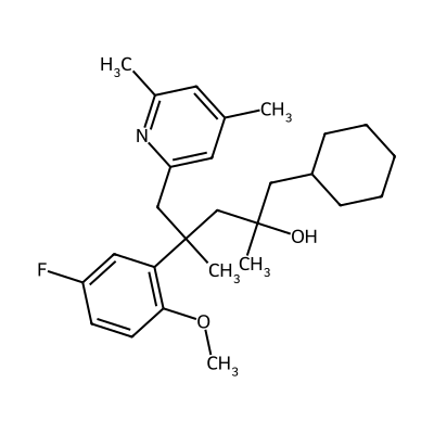 COc1ccc(F)cc1C(C)(Cc1cc(C)cc(C)n1)CC(C)(O)CC1CCCCC1